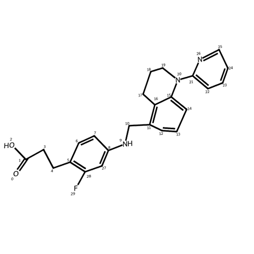 O=C(O)CCc1ccc(NCc2cccc3c2CCCN3c2ccccn2)cc1F